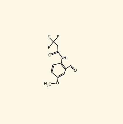 COc1ccc(NC(=O)CC(F)(F)F)c(C=O)c1